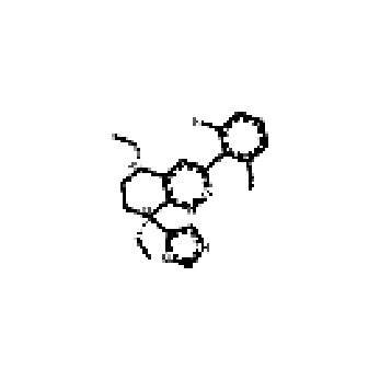 CC[C@H]1CC[C@](CC)(c2cnco2)c2nnc(-c3c(F)cccc3F)cc21